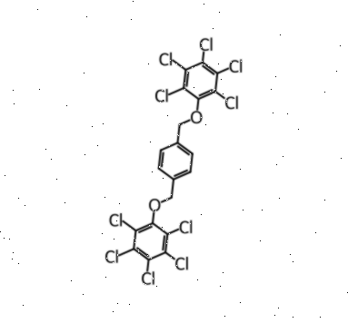 Clc1c(Cl)c(Cl)c(OCc2ccc(COc3c(Cl)c(Cl)c(Cl)c(Cl)c3Cl)cc2)c(Cl)c1Cl